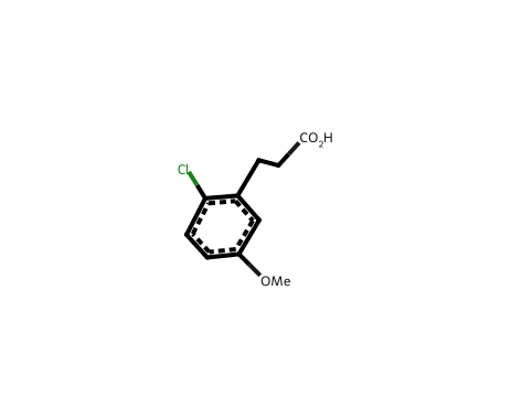 COc1ccc(Cl)c(CCC(=O)O)c1